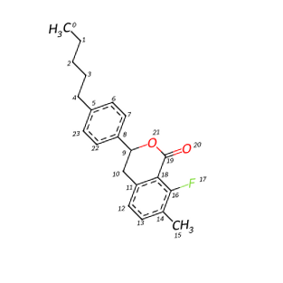 CCCCCc1ccc(C2Cc3ccc(C)c(F)c3C(=O)O2)cc1